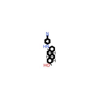 C[C@@]1(O)CC[C@H]2[C@H](CC[C@@H]3[C@@H]2CC[C@]2(C)[C@@H](Nc4ccc(C#N)cc4)CCC[C@@H]32)C1